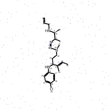 C=CCN[C@@H](C)C(C)/N=N\N(C)CCC(Nc1ccc(Cl)cc1)/C(C)=C/C